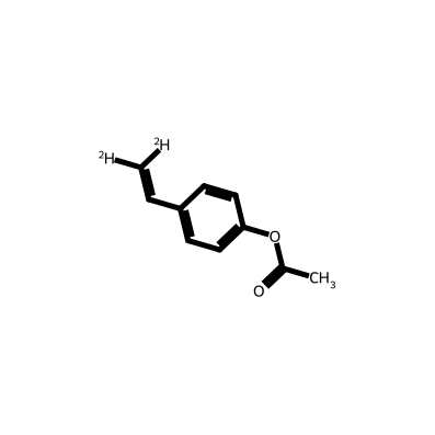 [2H]C([2H])=Cc1ccc(OC(C)=O)cc1